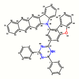 c1ccc(C2=NC(c3ccccc3)NC(c3cc(-n4c5ccccc5c5cc6cc7ccccc7cc6cc54)c4c(c3)oc3ccccc34)=N2)cc1